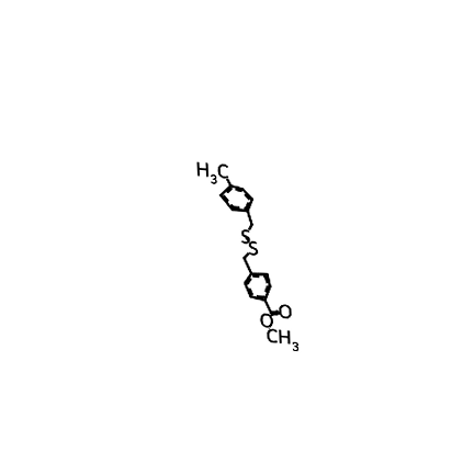 COC(=O)c1ccc(CSSCc2ccc(C)cc2)cc1